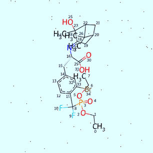 CCOP(=O)(OCC)C(F)(F)c1ccc(C[C@H](/N=C2\CC3CC(C2(C)O)C3(C)C)C(=O)O)cc1Br